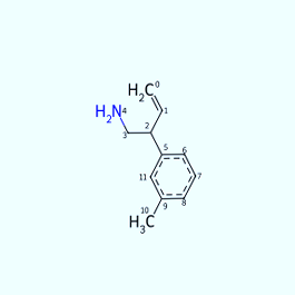 C=CC(CN)c1cccc(C)c1